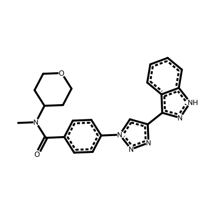 CN(C(=O)c1ccc(-n2cc(-c3n[nH]c4ccccc34)nn2)cc1)C1CCOCC1